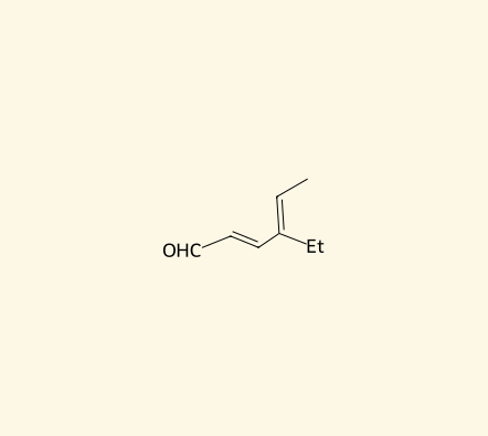 CC=C(C=CC=O)CC